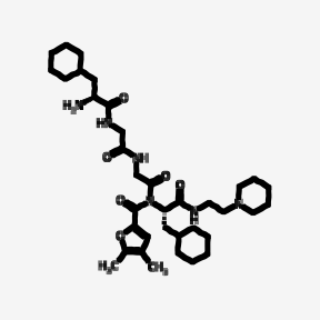 Cc1cc(C(=O)N(C(=O)CNC(=O)CNC(=O)[C@@H](N)CC2CCCCC2)[C@@H](CC2CCCCC2)C(=O)NCCN2CCCCC2)oc1C